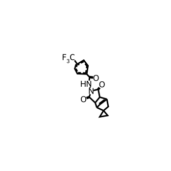 O=C(NN1C(=O)C2C3C=CC(C2C1=O)C1(CC1)C3)c1ccc(C(F)(F)F)cc1